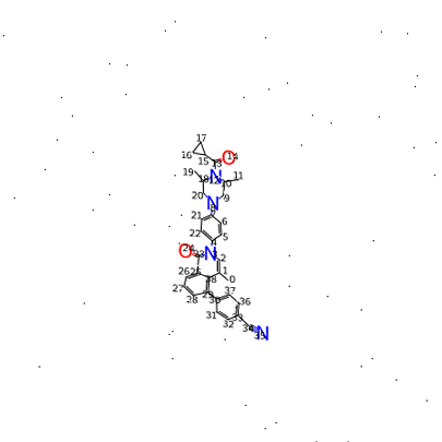 Cc1cn(-c2ccc(N3CC(C)N(C(=O)C4CC4)C(C)C3)cc2)c(=O)c2cccc(-c3ccc(C#N)cc3)c12